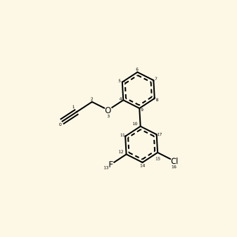 C#CCOc1[c]cccc1-c1cc(F)cc(Cl)c1